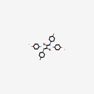 COc1ccc(N2C(=O)C3=C(c4ccc(C)cc4)N(c4ccc(OC)cc4)C(=O)C3=C2c2ccc(C)cc2)cc1